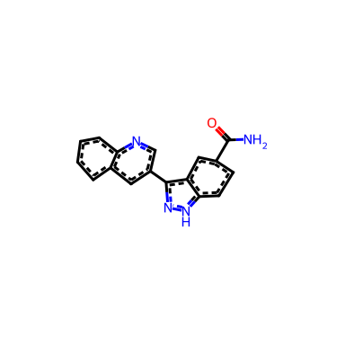 NC(=O)c1ccc2[nH]nc(-c3cnc4ccccc4c3)c2c1